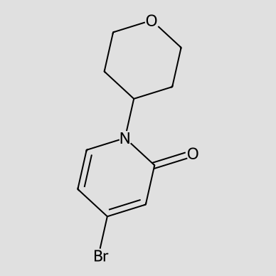 O=c1cc(Br)ccn1C1CCOCC1